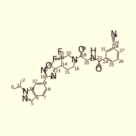 CC(C)n1ncc2ccc(-c3noc(C4CCN(C(=O)CNC(=O)c5cccc(C#N)c5)CC4(F)F)n3)cc21